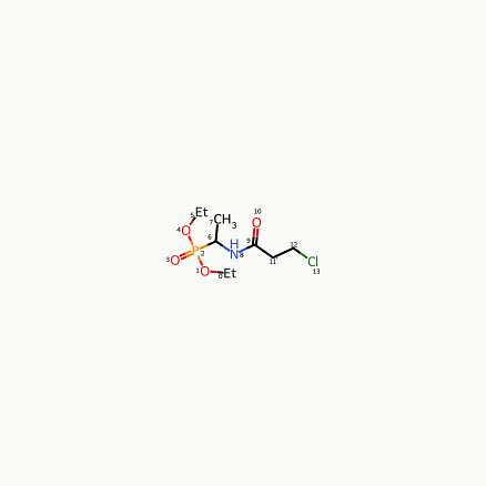 CCOP(=O)(OCC)C(C)NC(=O)[CH]CCl